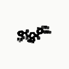 COc1cc(C(=O)N2CCC(NC(=O)c3ccccc3OC(F)(F)F)c3c2cnn3C)cnc1OC